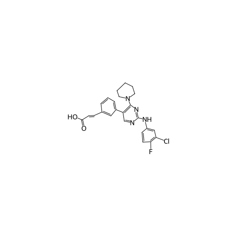 O=C(O)C=Cc1cccc(-c2cnc(Nc3ccc(F)c(Cl)c3)nc2N2CCCCC2)c1